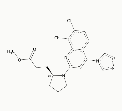 COC(=O)CC[C@@H]1CCCN1c1cc(-n2ccnc2)c2ccc(Cl)c(Cl)c2n1